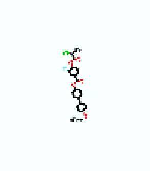 CCCCCCCCCCOc1ccc(-c2ccc(OC(=O)c3ccc(OC(=O)C(Cl)C(C)C)c(F)c3)cc2)cc1